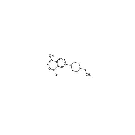 CCN1CCN(c2ccc(C(=O)O)c([N+](=O)[O-])c2)CC1